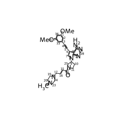 COc1cc(C#Cc2cn([C@H]3CCN(C(=O)/C=C/CN4CCN(C)CC4)C3)c3ncnc(N)c23)cc(OC)c1